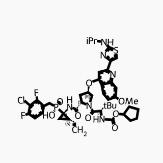 C=C[C@@H]1C[C@]1(NC(=O)[C@@H]1C[C@@H](Oc2cc(-c3csc(NC(C)C)n3)nc3cc(OC)ccc23)CN1C(=O)[C@@H](NC(=O)OC1CCCC1)C(C)(C)C)P(=O)(O)Cc1ccc(F)c(Cl)c1F